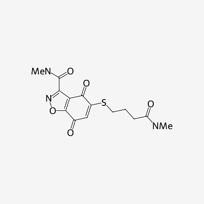 CNC(=O)CCCSC1=CC(=O)c2onc(C(=O)NC)c2C1=O